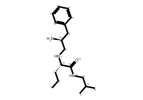 CCC[C@H](NC[C@@H](N)Cc1ccccc1)C(=O)NCC(C)C